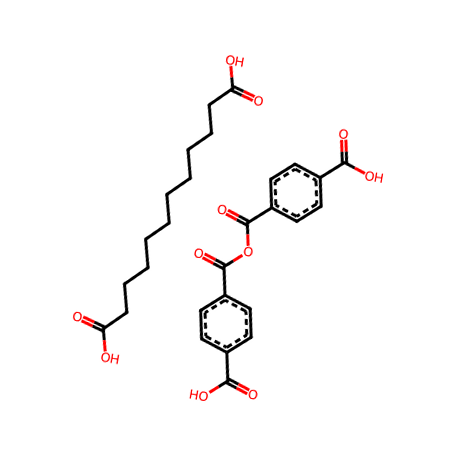 O=C(O)CCCCCCCCCCC(=O)O.O=C(O)c1ccc(C(=O)OC(=O)c2ccc(C(=O)O)cc2)cc1